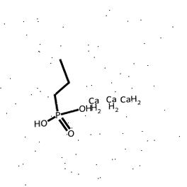 CCCP(=O)(O)O.[CaH2].[CaH2].[CaH2]